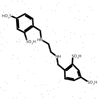 O=S(=O)(O)c1ccc(CNCCNCc2ccc(S(=O)(=O)O)cc2S(=O)(=O)O)c(S(=O)(=O)O)c1